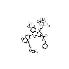 COCCCN1CCOc2ccc(CO[C@H]3CN(C(=O)OCc4ccccc4)C[C@@H](OC[C@H](C)OS(C)(=O)=O)[C@@H]3c3ccc(OC)cc3)cc21